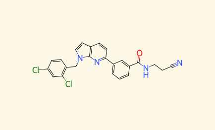 N#CCCNC(=O)c1cccc(-c2ccc3ccn(Cc4ccc(Cl)cc4Cl)c3n2)c1